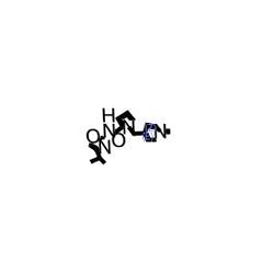 C=N/C=C\C(=C/C)Cn1cccc1C(=O)Nc1nc(C(C)C)co1